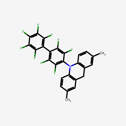 Cc1ccc2c(c1)Cc1cc(C)ccc1N2c1c(F)c(F)c(-c2c(F)c(F)c(F)c(F)c2F)c(F)c1F